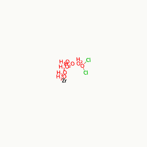 ClOCl.O.O.O.O.O.O.[Zr]